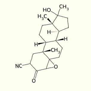 CC1(O)CC[C@H]2[C@@H]3CCC45OC4C(=O)C(C#N)C[C@]5(C)[C@@H]3CC[C@@]21C